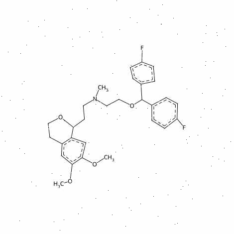 COc1cc2c(cc1OC)C(CCN(C)CCOC(c1ccc(F)cc1)c1ccc(F)cc1)OCC2